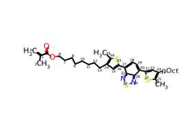 C=C(C)C(=O)OCCCCCCCCc1cc(-c2ccc(-c3cc(CCCCCCCC)c(C)s3)c3nsnc23)sc1C